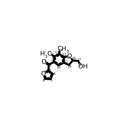 Cc1c(C(=O)c2ccco2)cc2c(c1C)OC(CO)C2